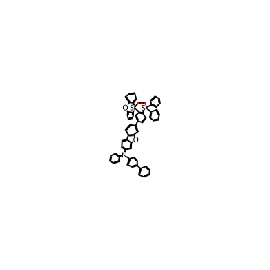 c1ccc(-c2ccc(N(c3ccccc3)c3ccc4c(c3)oc3cc(-c5ccc6c(c5)[Si]5(c7ccccc7Oc7ccccc75)c5ccccc5[Si]6(c5ccccc5)c5ccccc5)ccc34)cc2)cc1